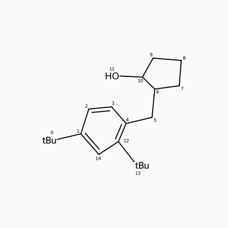 CC(C)(C)c1ccc(CC2CCCC2O)c(C(C)(C)C)c1